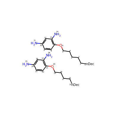 CCCCCCCCCCCCCCCOc1ccc(N)cc1N.CCCCCCCCCCCCCCOc1ccc(N)cc1N